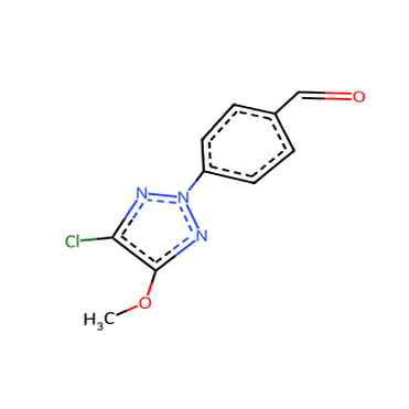 COc1nn(-c2ccc(C=O)cc2)nc1Cl